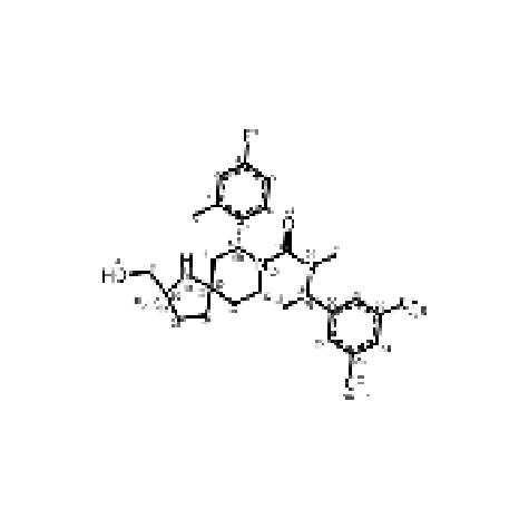 Cc1cc(F)ccc1[C@H]1C[C@@]2(CCN1C(=O)N(C)[C@H](C)c1cc(C(F)(F)F)cc(C(F)(F)F)c1)CC[C@@](C)(CO)N2